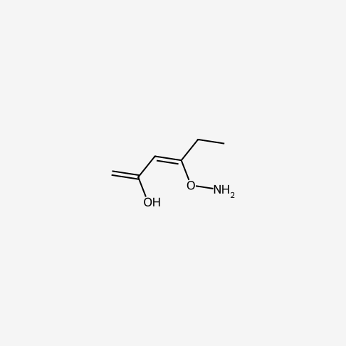 C=C(O)/C=C(/CC)ON